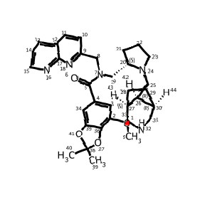 COc1cc(C(=O)N(Cc2ccc3cccnc3n2)C[C@@H]2CCCN2C[C@@H]2[C@@H]3CC[C@H]2CNC3)cc2c1OC(C)(C)O2